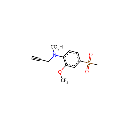 C#CCN(C(=O)O)c1ccc(S(C)(=O)=O)cc1OC(F)(F)F